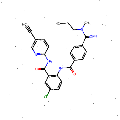 C#Cc1ccc(NC(=O)c2cc(Cl)ccc2NC(=O)c2ccc(C(=N)N(C)CCC#N)cc2)nc1